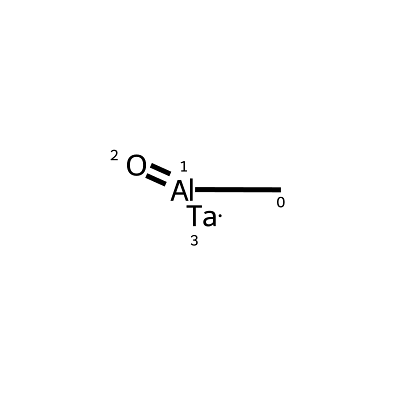 [CH3][Al]=[O].[Ta]